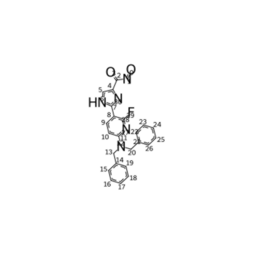 O=NC(=O)c1c[nH]c(-c2ccc(N(Cc3ccccc3)Cc3ccccc3)nc2F)n1